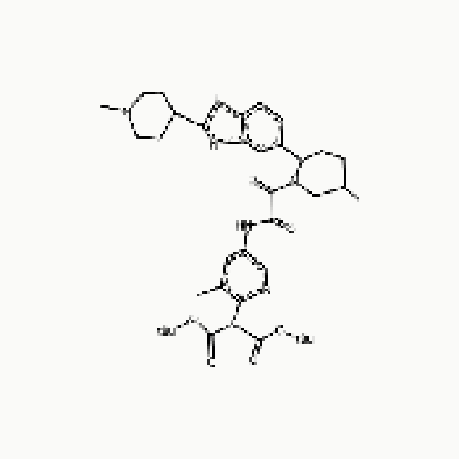 Cc1cc(NC(=O)C(=O)N2CC(C)CCC2c2ccc3sc(C4CCN(C)CC4)nc3c2)cnc1N(C(=O)OC(C)(C)C)C(=O)OC(C)(C)C